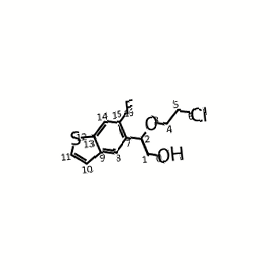 OCC(OCCCl)c1cc2ccsc2cc1F